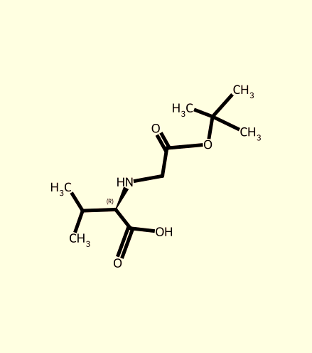 CC(C)[C@@H](NCC(=O)OC(C)(C)C)C(=O)O